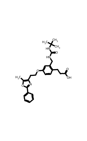 Cc1oc(-c2ccccc2)nc1CCOc1ccc(CCC(=O)O)c(CNC(=O)NC(C)(C)C)c1